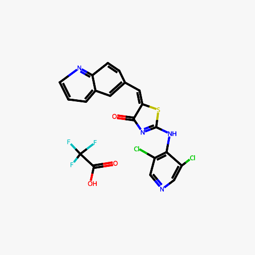 O=C(O)C(F)(F)F.O=C1N=C(Nc2c(Cl)cncc2Cl)SC1=Cc1ccc2ncccc2c1